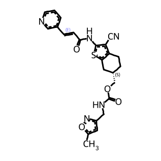 Cc1cc(CNC(=O)OC[C@H]2CCc3c(sc(NC(=O)/C=C/c4cccnc4)c3C#N)C2)no1